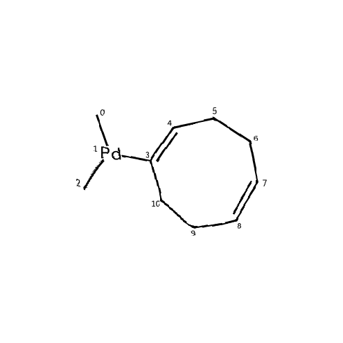 [CH3][Pd]([CH3])[C]1=CCCC=CCC1